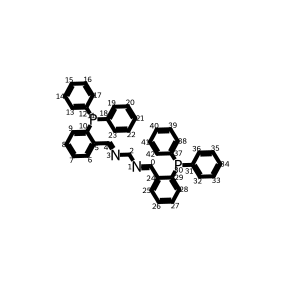 C(=N\C/N=C/c1ccccc1P(c1ccccc1)c1ccccc1)/c1ccccc1P(c1ccccc1)c1ccccc1